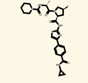 C[C@@H](NC(=O)N1CCCCC1)C(=O)N1C[C@@H](F)C[C@H]1C(=O)Nc1nc(-c2ccc(C(=O)NC3CC3)cc2)cs1